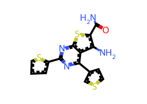 NC(=O)c1sc2nc(-c3cccs3)nc(-c3ccsc3)c2c1N